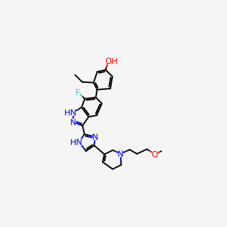 CCc1cc(O)ccc1-c1ccc2c(-c3nc(C4=CCCN(CCCOC)C4)c[nH]3)n[nH]c2c1F